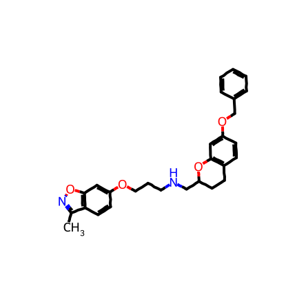 Cc1noc2cc(OCCCNCC3CCc4ccc(OCc5ccccc5)cc4O3)ccc12